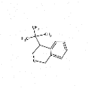 CC(C)(C)C1COCc2ccccc21